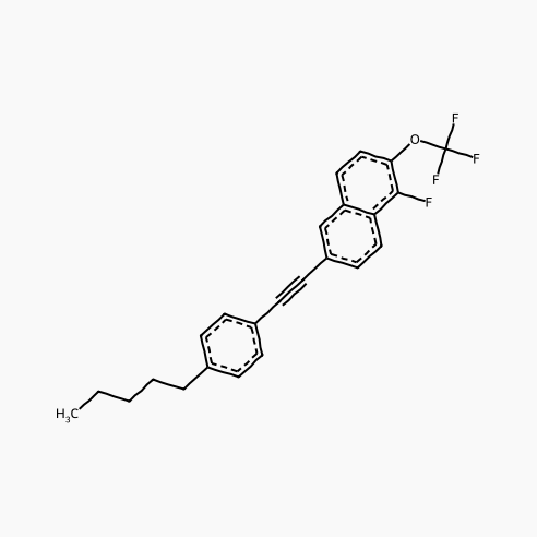 CCCCCc1ccc(C#Cc2ccc3c(F)c(OC(F)(F)F)ccc3c2)cc1